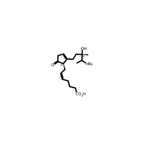 CCCCC(C)[C@@](C)(O)CCC1=CCC(=O)[C@@H]1C/C=C\CCCC(=O)O